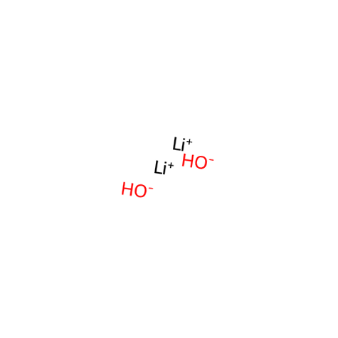 [Li+].[Li+].[OH-].[OH-]